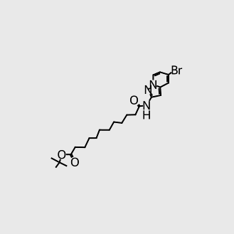 CC(C)(C)OC(=O)CCCCCCCCCCC(=O)Nc1cc2cc(Br)ccn2n1